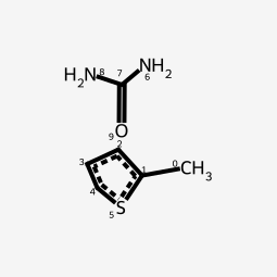 Cc1cccs1.NC(N)=O